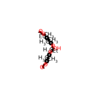 CCC(C)(OCC1CO1)c1ccc(C(C)(C)c2ccc(OCC(O)C(C)(CC)COc3ccc(C(C)(C)c4ccc(OCC5CO5)cc4)cc3)cc2)cc1